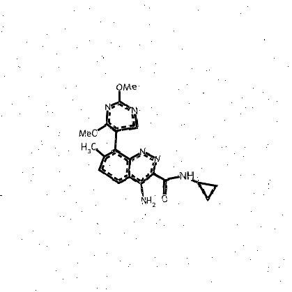 COc1ncc(-c2c(C)ccc3c(N)c(C(=O)NC4CC4)nnc23)c(OC)n1